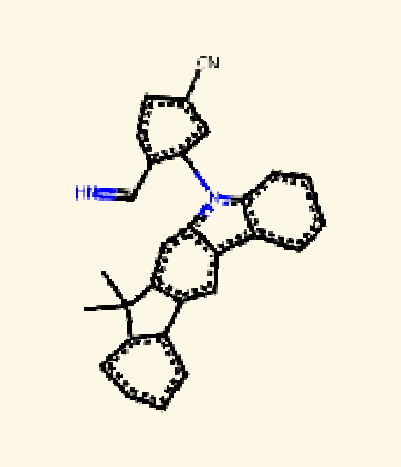 CC1(C)c2ccccc2-c2cc3c4ccccc4n(-c4cc(C#N)ccc4C=N)c3cc21